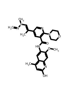 C=NN(C)/C=C(\C)c1cnc(N2CCOCC2)c(C(=O)Nc2cc3c(C)cc(O)nc3cc2OC)c1